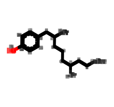 CCCCCCCCCCCCC(CCCC(Cc1ccc(O)cc1)C(C)C)C(C)C